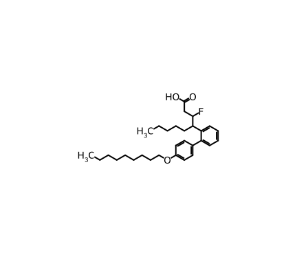 CCCCCCCCCOc1ccc(-c2ccccc2C(CCCCC)C(F)CC(=O)O)cc1